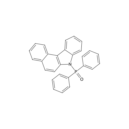 O=P(c1ccccc1)(c1ccccc1)n1c2ccccc2c2c3ccccc3ccc21